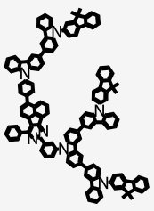 CC1(C)c2ccccc2-c2ccc(-n3c4ccccc4c4cc(-c5ccc6c(c5)c5ccccc5n6-c5ccc(-c6ccc7c8c(cccc68)-c6nc(-c8cccc(-n9c%10ccc(-c%11ccc%12c(c%11)c%11ccccc%11n%12-c%11ccc%12c(c%11)C(C)(C)c%11ccccc%11-%12)cc%10c%10cc(-c%11ccc%12c(c%11)c%11ccccc%11n%12-c%11ccc%12c(c%11)C(C)(C)c%11ccccc%11-%12)ccc%109)c8)nc(-c8ccccc8)c6-7)cc5)ccc43)cc21